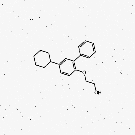 OCCOc1ccc(C2CCCCC2)cc1-c1ccccc1